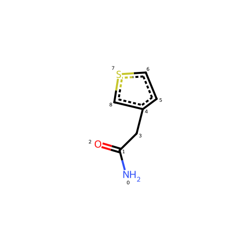 NC(=O)Cc1ccsc1